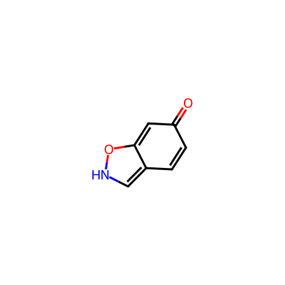 O=c1ccc2c[nH]oc-2c1